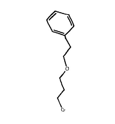 [O]CCCOCCc1ccccc1